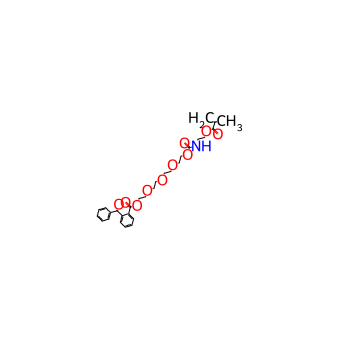 C=C(C)C(=O)OCCNC(=O)OCCOCCOCCOCCOC(=O)c1ccccc1C(=O)c1ccccc1